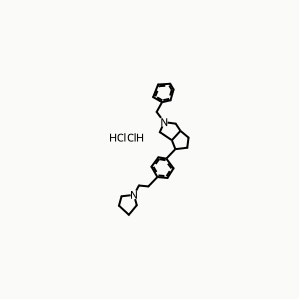 Cl.Cl.c1ccc(CN2CC3CCC(c4ccc(CCN5CCCC5)cc4)C3C2)cc1